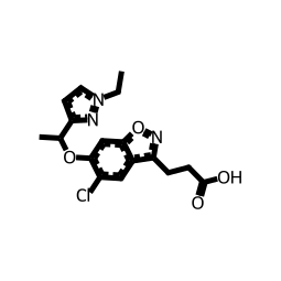 CCn1ccc(C(C)Oc2cc3onc(CCC(=O)O)c3cc2Cl)n1